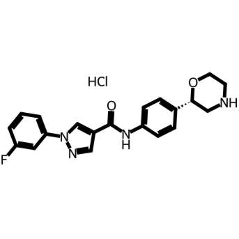 Cl.O=C(Nc1ccc([C@H]2CNCCO2)cc1)c1cnn(-c2cccc(F)c2)c1